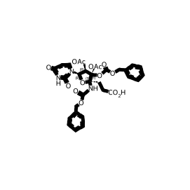 CC(=O)O[C@@H]1[C@H](n2ccc(=O)[nH]c2=O)O[C@](CCC(=O)O)(NC(=O)OCc2ccccc2)[C@]1(OC(C)=O)OC(=O)OCc1ccccc1